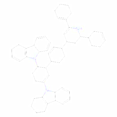 C1=CC2C3=C(CCCC3)N(C3=CC(C4C=CC(C5C=C(C6=CCCCC6)NC(C6CC=CCC6)C5)CC4)C(N4C5=C(CCC=C5)C5C=CC=CC54)CC3)C2C=C1